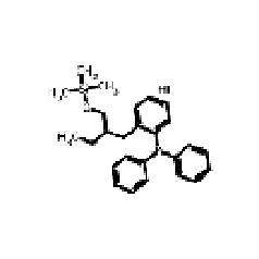 CCC(CO[Si](C)(C)C)Cc1ccccc1P(c1ccccc1)c1ccccc1.I